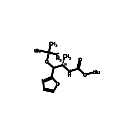 C[C@H](NC(=O)OC(C)(C)C)C(O[Si](C)(C)C(C)(C)C)c1ncco1